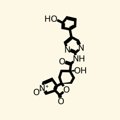 O=C1O[C@]2(CC[C@@](O)(C(=O)Nc3ncc(-c4cccc(O)c4)cn3)CC2)c2cc[n+]([O-])cc21